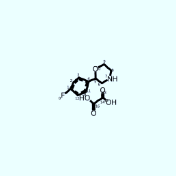 Fc1ccc(C2CNCCO2)cc1.O=C(O)C(=O)O